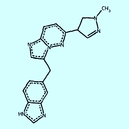 CN1CC(c2ccc3ncc(Cc4ccc5[nH]cnc5c4)n3n2)C=N1